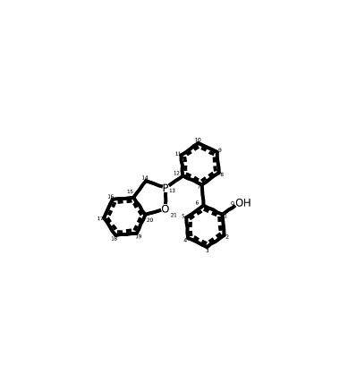 Oc1ccccc1-c1ccccc1P1Cc2ccccc2O1